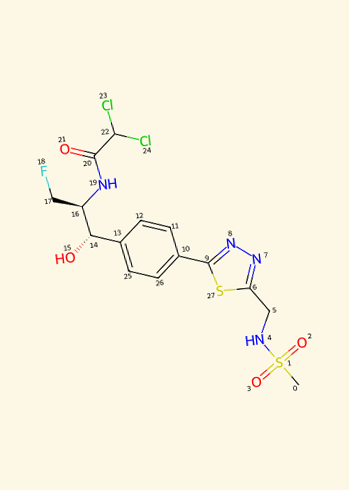 CS(=O)(=O)NCc1nnc(-c2ccc([C@H](O)[C@@H](CF)NC(=O)C(Cl)Cl)cc2)s1